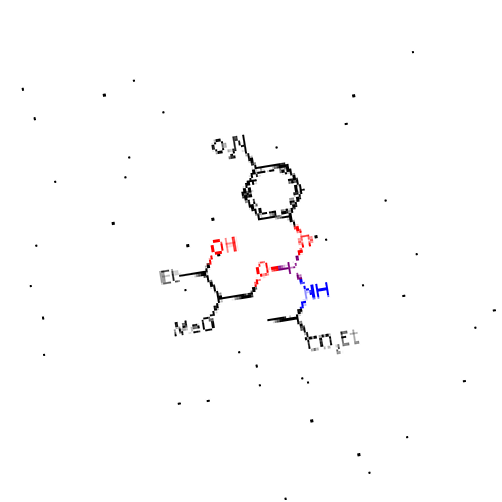 CCOC(=O)C(C)NP(OCC(OC)C(O)CC)Oc1ccc([N+](=O)[O-])cc1